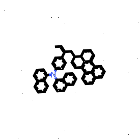 C/C=C(/CC1C=Cc2c3c(c4cccc5cccc2c54)=CC=CC31)c1ccc(N(c2cccc3ccccc23)c2cccc3ccccc23)cc1